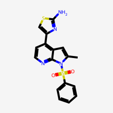 Cc1cc2c(-c3csc(N)n3)ccnc2n1S(=O)(=O)c1ccccc1